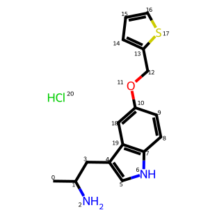 CC(N)Cc1c[nH]c2ccc(OCc3cccs3)cc12.Cl